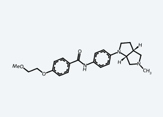 COCCOc1ccc(C(=O)Nc2ccc(N3CC[C@@H]4CN(C)C[C@@H]43)cc2)cc1